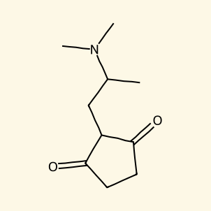 CC(CC1C(=O)CCC1=O)N(C)C